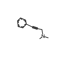 CN(C)CC#Cc1ccccc1